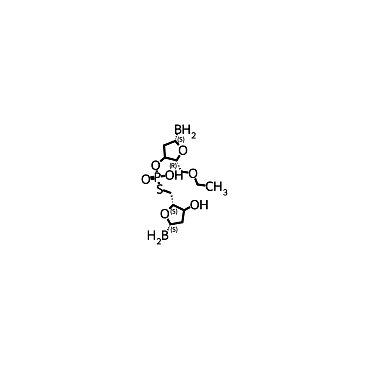 B[C@H]1CC(O)[C@@H](CSP(=O)(O)OC2C[C@H](B)O[C@@H]2COCC)O1